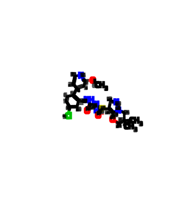 COc1cc(-c2ccc(Cl)cc2NC(=O)N[S@+]([O-])c2cnn3c2OCC(C)(C)C3)ccn1